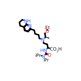 CCOC[C@@H](C)N(CCCCc1ccc2c(n1)NCCC2)CCC(NC(=O)N(C(C)C)C(C)C)C(=O)O